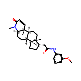 COc1cccc(NC(=O)C[C@H]2CC[C@H]3[C@@H]4CC[C@H]5N(C)C(=O)C=C[C@]5(C)[C@H]4CC[C@]23C)c1